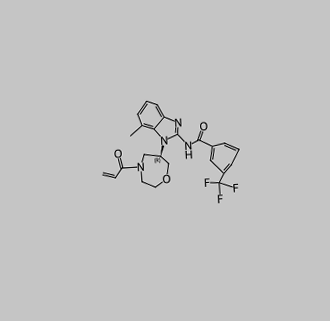 C=CC(=O)N1CCOC[C@H](n2c(NC(=O)c3cccc(C(F)(F)F)c3)nc3cccc(C)c32)C1